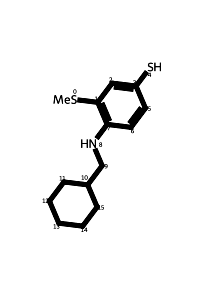 CSc1cc(S)ccc1NCC1CCCCC1